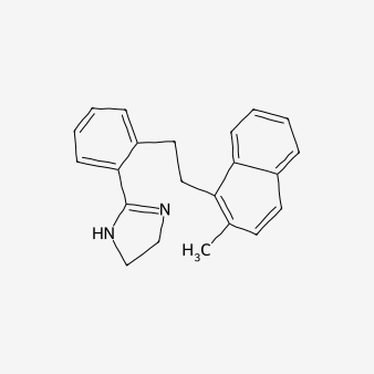 Cc1ccc2ccccc2c1CCc1ccccc1C1=NCCN1